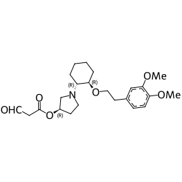 COc1ccc(CCO[C@@H]2CCCC[C@H]2N2CC[C@@H](OC(=O)CC=O)C2)cc1OC